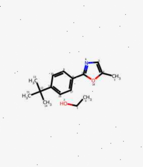 CCO.Cc1cnc(-c2ccc(C(C)(C)C)cc2)o1